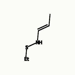 CC=CNSCC